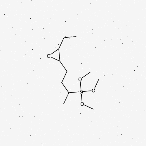 CCC1OC1CCC(C)[Si](OC)(OC)OC